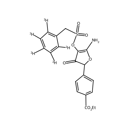 [2H]c1c([2H])c([2H])c(CS(=O)(=O)OC2=C(N)OC(c3ccc(C(=O)OCC)cc3)C2=O)c([2H])c1[2H]